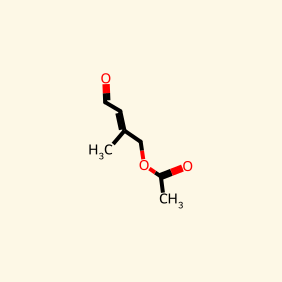 CC(=O)OC/C(C)=C/C=O